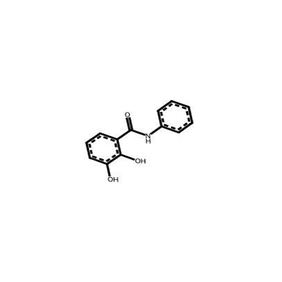 O=C(Nc1ccccc1)c1cccc(O)c1O